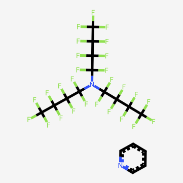 FC(F)(F)C(F)(F)C(F)(F)C(F)(F)N(C(F)(F)C(F)(F)C(F)(F)C(F)(F)F)C(F)(F)C(F)(F)C(F)(F)C(F)(F)F.c1ccncc1